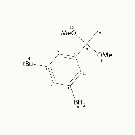 Bc1cc(C(C)(C)C)cc(C(C)(OC)OC)c1